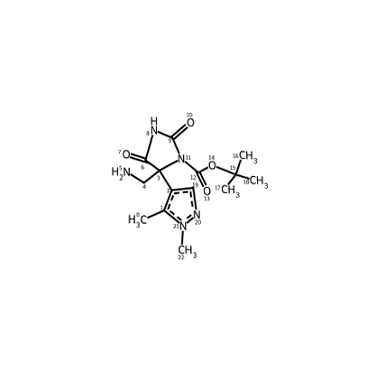 Cc1c(C2(CN)C(=O)NC(=O)N2C(=O)OC(C)(C)C)cnn1C